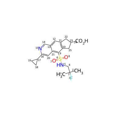 CC(C)(F)CNS(=O)(=O)c1c2c(cc3cnc(C4CC4)cc13)CC(C(=O)O)C2